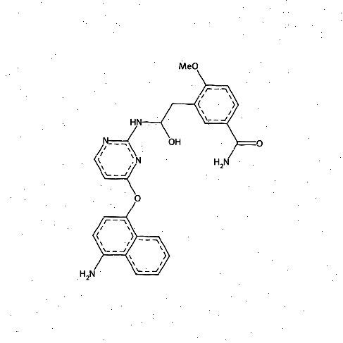 COc1ccc(C(N)=O)cc1CC(O)Nc1nccc(Oc2ccc(N)c3ccccc23)n1